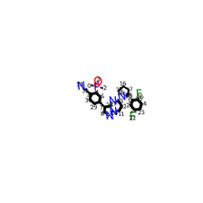 CP(C)(=O)c1cc(-c2cnn3ccc(N4CCC[C@@H]4c4cc(F)ccc4F)nc23)ccc1C#N